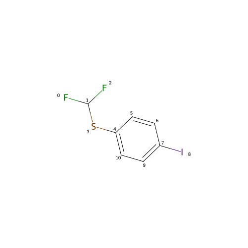 FC(F)Sc1ccc(I)cc1